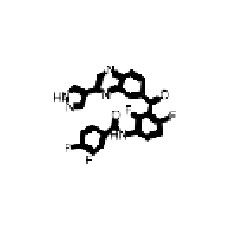 O=C(Nc1ccc(F)c(C(=O)c2ccc3ncc(-c4cn[nH]c4)nc3c2)c1F)c1ccc(F)c(F)c1